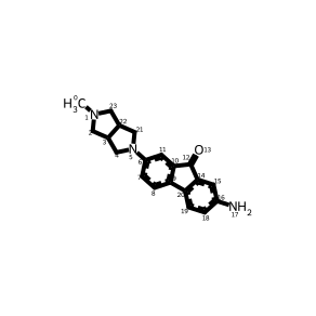 CN1CC2CN(c3ccc4c(c3)C(=O)c3cc(N)ccc3-4)CC2C1